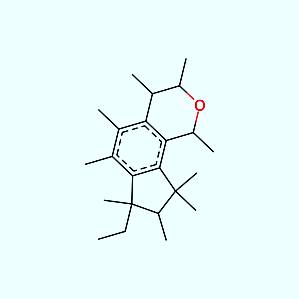 CCC1(C)c2c(C)c(C)c3c(c2C(C)(C)C1C)C(C)OC(C)C3C